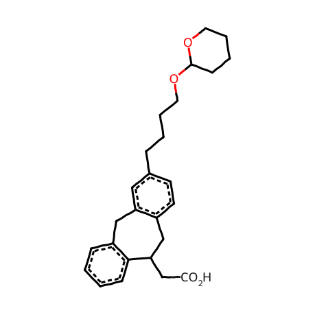 O=C(O)CC1Cc2ccc(CCCCOC3CCCCO3)cc2Cc2ccccc21